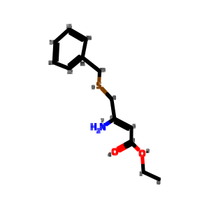 CCOC(=O)C=C(N)CSCc1ccccc1